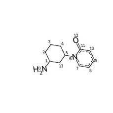 NC1CCCC(n2cc[c]cc2=O)C1